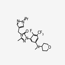 Cc1nn(-c2cc(N(C)C3CCOCC3)cc(C(F)(F)F)c2F)c(=O)n1Cc1cnn(C(C)C)c1